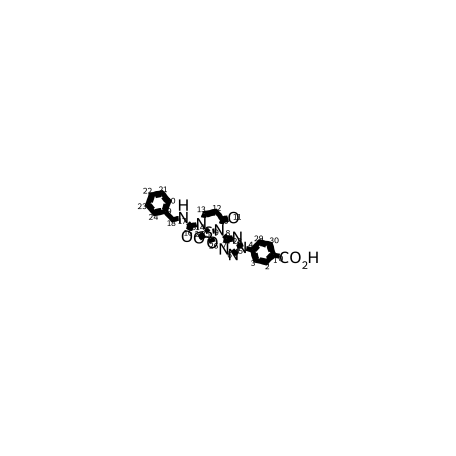 O=C(O)c1ccc(-n2nnc(N3C(=O)C=CN(C(=O)NCc4ccccc4)S3(=O)=O)n2)cc1